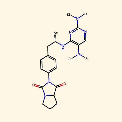 CCN(CC)c1ncc(N(C(C)=O)C(C)C)c(N[C@@H](Cc2ccc(N3C(=O)C4CCCN4C3=O)cc2)C(C)=O)n1